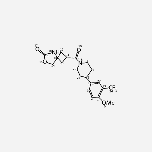 COc1ccc(C2CCN(C(=O)[C@H]3C[C@]4(COC(=O)N4)C3)CC2)cc1C(F)(F)F